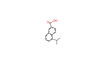 CC(C)c1cccc2cc(C(=O)O)ccc12